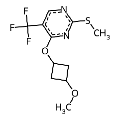 COC1CC(Oc2nc(SC)ncc2C(F)(F)F)C1